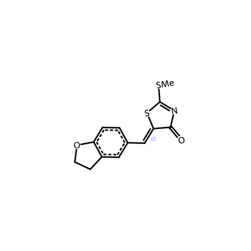 CSC1=NC(=O)/C(=C/c2ccc3c(c2)CCO3)S1